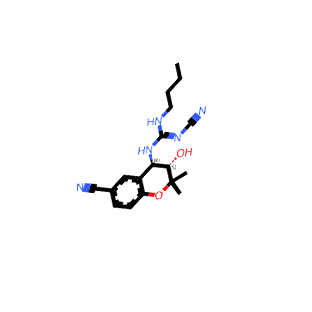 CCCCNC(=NC#N)N[C@@H]1c2cc(C#N)ccc2OC(C)(C)[C@H]1O